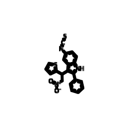 O=[N+]([O-])CC(c1cccs1)c1c(-c2ccccc2)[nH]c2ccc(N=C=S)cc12